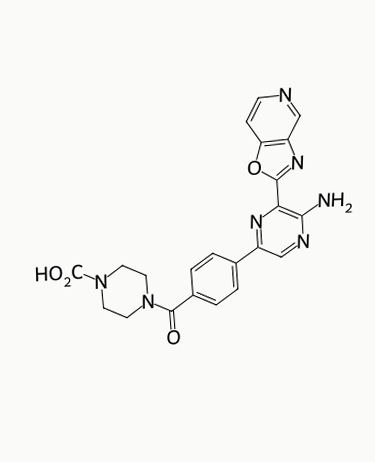 Nc1ncc(-c2ccc(C(=O)N3CCN(C(=O)O)CC3)cc2)nc1-c1nc2cnccc2o1